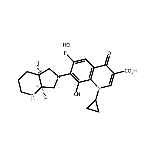 Cl.N#Cc1c(N2C[C@@H]3CCCN[C@@H]3C2)c(F)cc2c(=O)c(C(=O)O)cn(C3CC3)c12